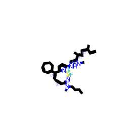 C=C\C(C)=C/C=C(C)/C(=C/Nc1ccc2n1S(F)(F)\N=C(N(C)CCCC)/C=C\C=C/2C1=CC=CCCC1)NC